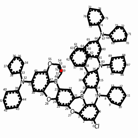 Clc1cc2c3c(c1)N(c1ccccc1)c1cc4c(cc1B3c1cc3c(cc1O2)Oc1cc(N(c2ccccc2)c2ccccc2)cc2c1B3c1ccccc1O2)B1c2ccccc2Oc2cc(N(c3ccccc3)c3ccccc3)cc(c21)N4c1ccccc1